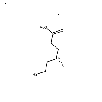 CC(=O)OC(=O)CC[C@H](C)CCS